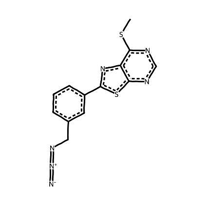 CSc1ncnc2sc(-c3cccc(CN=[N+]=[N-])c3)nc12